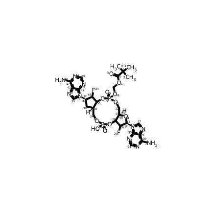 CC(C)(C)C(=O)OCOP1(=O)OC[C@H]2O[C@@H](n3cnc4c(N)ncnc43)C(F)C2OP(=O)(O)OC[C@H]2C[C@@H](n3cnc4c(N)ncnc43)C(F)C2O1